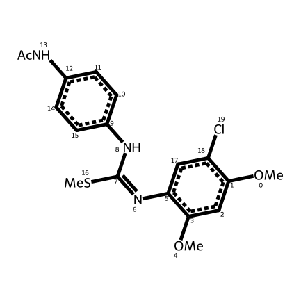 COc1cc(OC)c(N=C(Nc2ccc(NC(C)=O)cc2)SC)cc1Cl